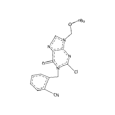 CCCCOCn1cnc2c(=O)n(Cc3ccccc3C#N)c(Cl)nc21